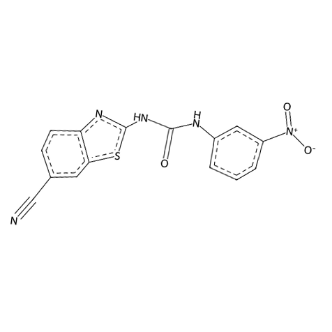 N#Cc1ccc2nc(NC(=O)Nc3cccc([N+](=O)[O-])c3)sc2c1